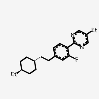 CCc1cnc(-c2ccc(CC[C@H]3CC[C@H](CC)CC3)cc2F)nc1